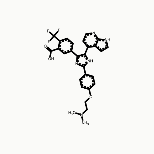 CN(C)CCOc1ccc(-c2nc(-c3ccc(C(F)(F)F)c(C(=O)O)c3)c(-c3ccnc4[nH]ccc34)[nH]2)cc1